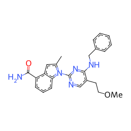 COCCc1cnc(-n2c(C)cc3c(C(N)=O)cccc32)nc1NCc1ccccc1